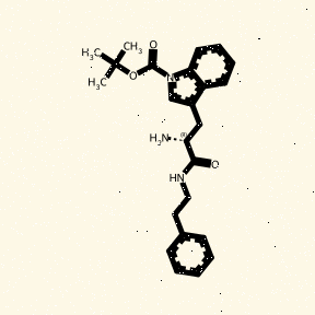 CC(C)(C)OC(=O)n1cc(C[C@@H](N)C(=O)NCCc2ccccc2)c2ccccc21